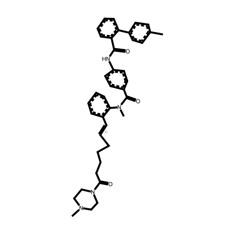 Cc1ccc(-c2ccccc2C(=O)Nc2ccc(C(=O)N(C)c3ccccc3/C=C/CCCCC(=O)N3CCN(C)CC3)cc2)cc1